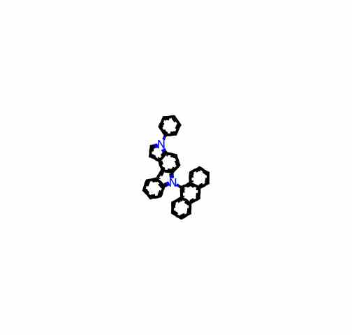 c1ccc(-n2ccc3c4c5ccccc5n(-c5c6ccccc6cc6ccccc56)c4ccc32)cc1